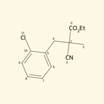 CCOC(=O)C(C)(C#N)Cc1ccccc1Cl